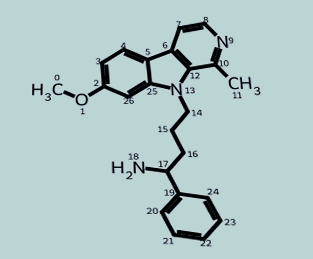 COc1ccc2c3ccnc(C)c3n(CCCC(N)c3ccccc3)c2c1